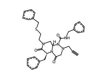 C#CCN1CC(=O)N2[C@@H](Cc3ccccc3)C(=O)N(CCSCc3ccccc3)C[C@@H]2N1C(=O)NCc1ccccc1